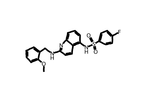 COc1ccccc1CNc1ccc2c(NS(=O)(=O)c3ccc(F)cc3)cccc2n1